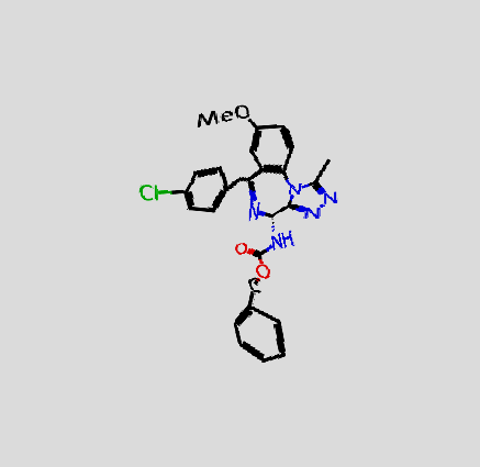 COc1ccc2c(c1)C(c1ccc(Cl)cc1)=N[C@@H](NC(=O)OCc1ccccc1)c1nnc(C)n1-2